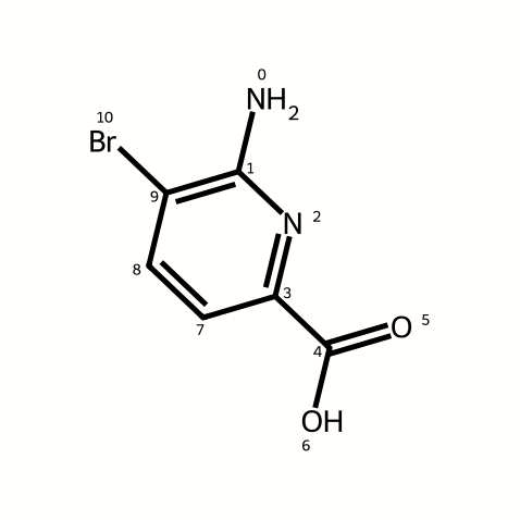 Nc1nc(C(=O)O)ccc1Br